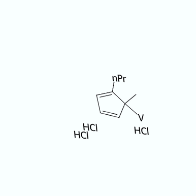 CCCC1=CC=C[C]1(C)[V].Cl.Cl.Cl